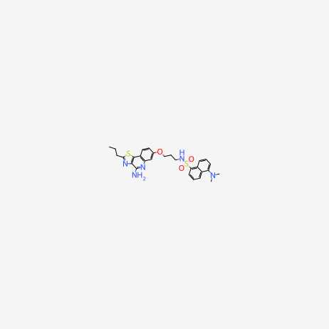 CCCc1nc2c(N)nc3cc(OCCCNS(=O)(=O)c4cccc5c(N(C)C)cccc45)ccc3c2s1